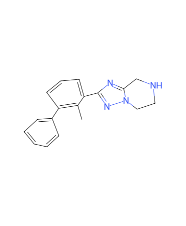 Cc1c(-c2ccccc2)cccc1-c1nc2n(n1)CCNC2